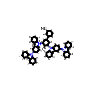 N#Cc1cccc(-c2cc(-n3c4ccccc4c4cc(-n5c6ccccc6c6ccccc65)ccc43)c(C(F)(F)F)c(-n3c4ccccc4c4cc(-n5c6ccccc6c6ccccc65)ccc43)c2)c1